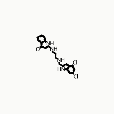 O=c1cc(NCCCNCc2cc3c(Cl)cc(Cl)cc3[nH]2)[nH]c2ccccc12